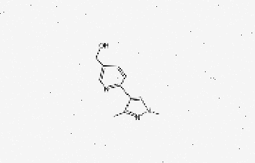 Cc1nn(C)cc1-c1ccc(CO)cn1